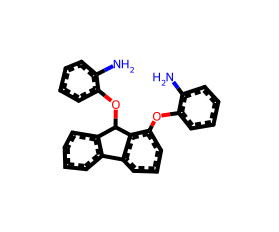 Nc1ccccc1Oc1cccc2c1C(Oc1ccccc1N)c1ccccc1-2